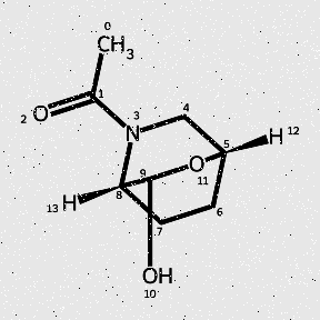 CC(=O)N1C[C@@H]2CC[C@H]1C(O)O2